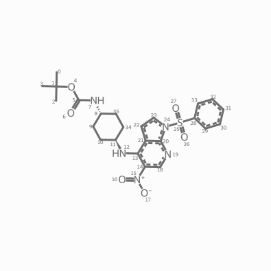 CC(C)(C)OC(=O)N[C@H]1CC[C@H](Nc2c([N+](=O)[O-])cnc3c2ccn3S(=O)(=O)c2ccccc2)CC1